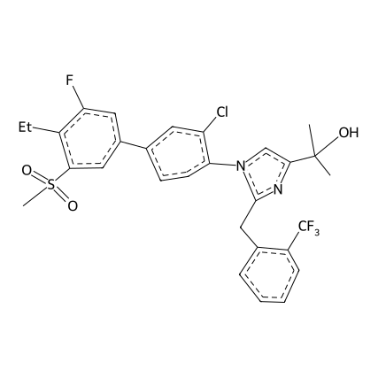 CCc1c(F)cc(-c2ccc(-n3cc(C(C)(C)O)nc3Cc3ccccc3C(F)(F)F)c(Cl)c2)cc1S(C)(=O)=O